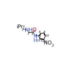 CC(C)CNCC(=O)Nc1cccc([N+](=O)[O-])c1